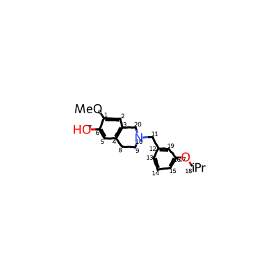 COc1cc2c(cc1O)CCN(Cc1cccc(OC(C)C)c1)C2